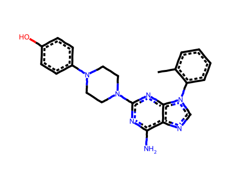 Cc1ccccc1-n1cnc2c(N)nc(N3CCN(c4ccc(O)cc4)CC3)nc21